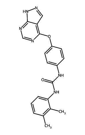 Cc1cccc(NC(=O)Nc2ccc(Oc3ncnc4[nH]ncc34)cc2)c1C